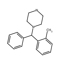 Cc1ccccc1C(c1ccccc1)N1CC[N]CC1